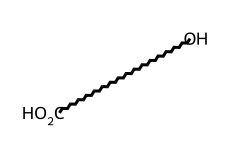 O=C(O)CCCCCCCCCCCCCCCCCCCCCCCCCCCCCCCCO